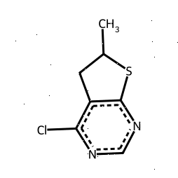 CC1Cc2c(Cl)ncnc2S1